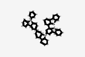 C1=Cc2c(n(-c3cc(-c4cccc5c4sc4ccccc45)c4sc5ccccc5c4c3)c3cc(-c4ccc5c(c4)c4ccccc4n5-c4ccccc4)ccc23)CC1